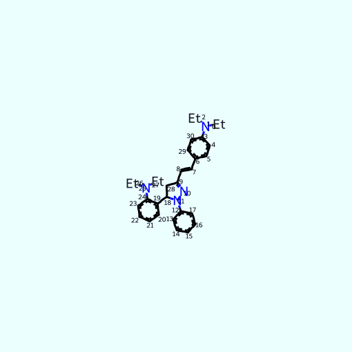 CCN(CC)c1ccc(C=CC2=NN(c3ccccc3)C(c3ccccc3N(CC)CC)C2)cc1